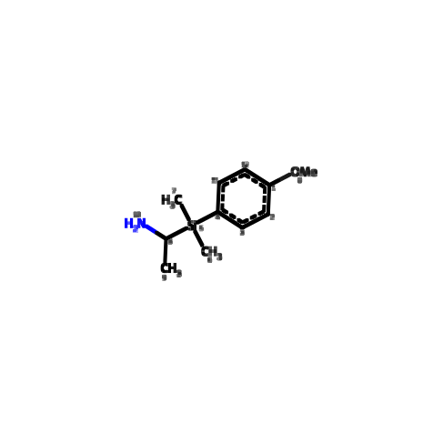 COc1ccc([Si](C)(C)C(C)N)cc1